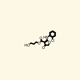 O=C1COC(Nc2ccccc2Cl)=C1C(=O)OCCCO